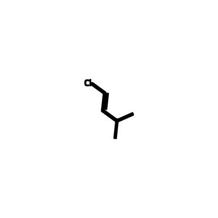 C[C](C)/C=C/Cl